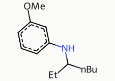 CCCCC(CC)Nc1cccc(OC)c1